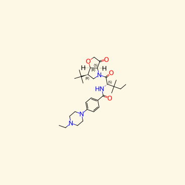 CCN1CCN(c2ccc(C(=O)N[C@H](C(=O)N3C[C@@H](C(C)(C)C)[C@H]4OCC(=O)[C@H]43)C(C)(C)CC)cc2)CC1